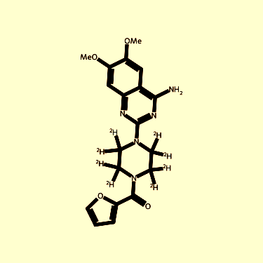 [2H]C1([2H])N(C(=O)c2ccco2)C([2H])([2H])C([2H])([2H])N(c2nc(N)c3cc(OC)c(OC)cc3n2)C1([2H])[2H]